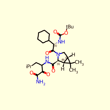 CC(C)CC(NC(=O)[C@@H]1[C@@H]2[C@H](CN1C(=O)[C@@H](NC(=O)OC(C)(C)C)C1CCCCC1)C2(C)C)C(=O)C(N)=O